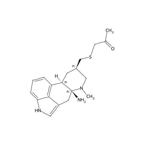 CC(=O)CSC[C@@H]1C[C@@H]2c3cccc4[nH]cc(c34)C[C@@]2(N)N(C)C1